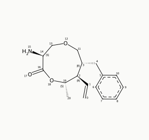 C=C[C@@H]1[C@@H](Cc2ccccc2)COC[C@H](N)C(=O)O[C@H]1C